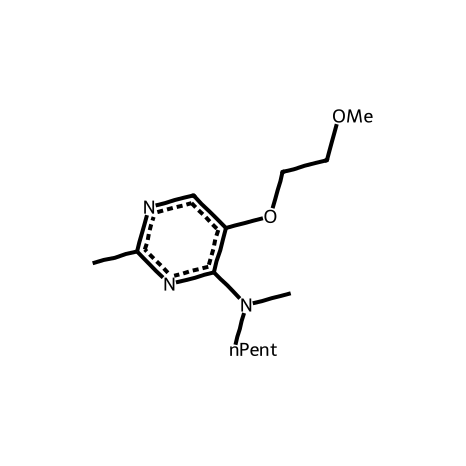 CCCCCN(C)c1nc(C)ncc1OCCOC